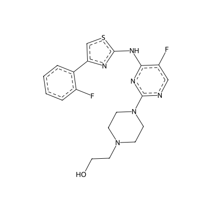 OCCN1CCN(c2ncc(F)c(Nc3nc(-c4ccccc4F)cs3)n2)CC1